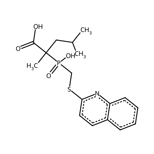 CC(C)CC(C)(C(=O)O)P(=O)(O)CSc1ccc2ccccc2n1